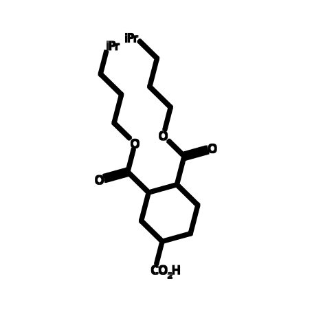 CC(C)CCCOC(=O)C1CCC(C(=O)O)CC1C(=O)OCCCC(C)C